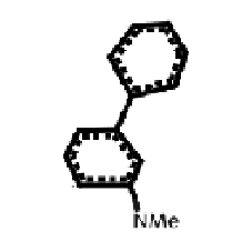 CNc1[c]ccc(-c2ccccc2)c1